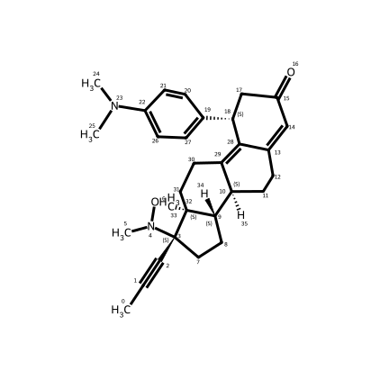 CC#C[C@]1(N(C)O)CC[C@H]2[C@@H]3CCC4=CC(=O)C[C@@H](c5ccc(N(C)C)cc5)C4=C3CC[C@@]21C